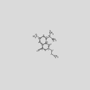 CCSc1cc(=O)c2cc(C)cc(C(C)N)c2o1